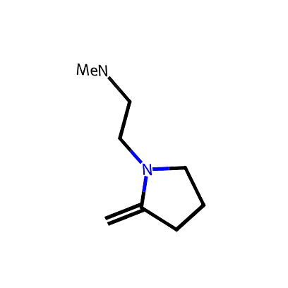 C=C1CCCN1CCNC